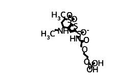 CCN[C@H]1CC(C)S(=O)(=O)c2sc([S+]([O-])NC(=O)COCCON(O)O)cc21